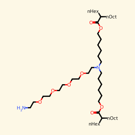 CCCCCCCCC(CCCCCC)C(=O)OCCCCCCN(CCCCCCOC(=O)C(CCCCCC)CCCCCCCC)CCOCCOCCOCCOCCN